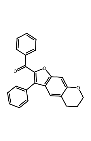 O=C(c1ccccc1)c1oc2cc3c(cc2c1-c1ccccc1)CCCO3